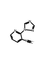 [C-]#[N+]c1cccnc1-n1cncn1